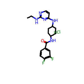 CCNc1nccc(NC2CCC(NC(=O)c3ccc(F)c(F)c3)CC2)n1.Cl